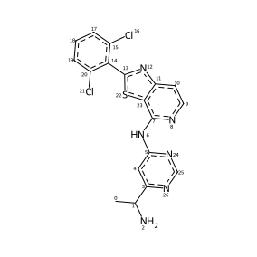 CC(N)c1cc(Nc2nccc3nc(-c4c(Cl)cccc4Cl)sc23)ncn1